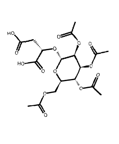 CC(=O)OC[C@H]1O[C@H](O[C@@H](CC(=O)O)C(=O)O)[C@@H](OC(C)=O)[C@@H](OC(C)=O)[C@@H]1OC(C)=O